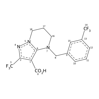 O=C(O)c1c(C(F)(F)F)nn2c1N(Cc1cccc(C(F)(F)F)c1)CCC2